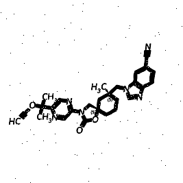 C#COC(C)(C)c1cnc(N2C[C@@]3(CCC[C@](C)(Cn4cnc5ccc(C#N)cc54)C3)OC2=O)cn1